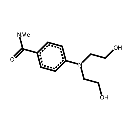 CNC(=O)c1ccc(N(CCO)CCO)cc1